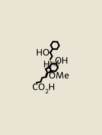 CO[C@@]12CC[C@H](O)[C@@H](CCC(O)C3CCCCC3)[C@@H]1CC2=CCCCC(=O)O